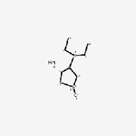 CCN(CC)C1CS[S+]([O-])C1.Cl